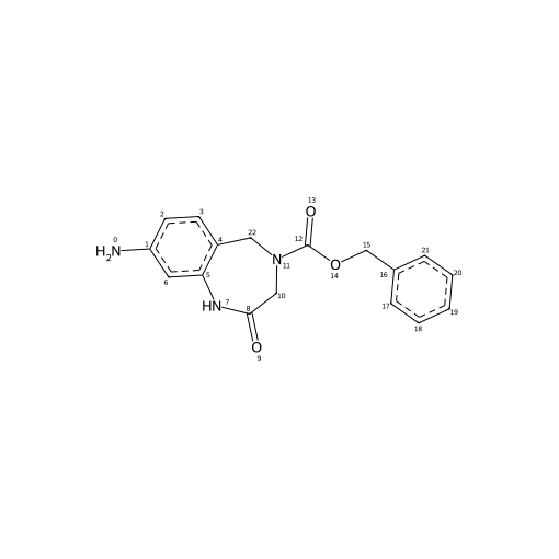 Nc1ccc2c(c1)NC(=O)CN(C(=O)OCc1ccccc1)C2